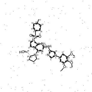 COc1cc(-n2cnc(Nc3nc(N4CCC[C@@H]4CO)c4ccn(S(=O)(=O)c5ccc(C)cc5)c4n3)c2)cc(OC)c1OC